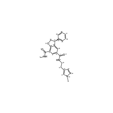 CNC(=O)c1cc(C(=O)NCCc2cnn(C)c2)cc2c1OC[C@H]2c1ccccc1